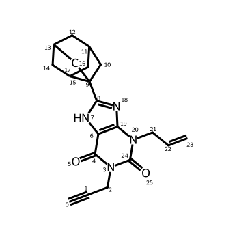 C#CCn1c(=O)c2[nH]c(C34CC5CC(CC3C5)C4)nc2n(CC=C)c1=O